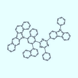 c1ccc(-c2nc(-c3ccc4c(c3)c3ccccc3n4-c3ccccc3)nc(-c3c(-c4cccc5ccccc45)cc(-n4c5cc6ccccc6cc5c5ccc6ccccc6c54)c4ccccc34)n2)cc1